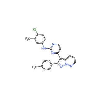 FC(F)(F)c1ccc(-c2nn3ncccc3c2-c2ccnc(Nc3ccc(Cl)c(C(F)(F)F)c3)n2)cc1